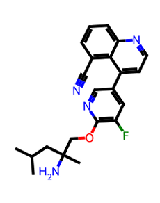 CC(C)CC(C)(N)COc1ncc(-c2ccnc3cccc(C#N)c23)cc1F